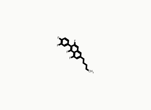 CCCCCc1cc(F)c2c(F)c(-c3ccc(F)c(F)c3)c(F)cc2c1